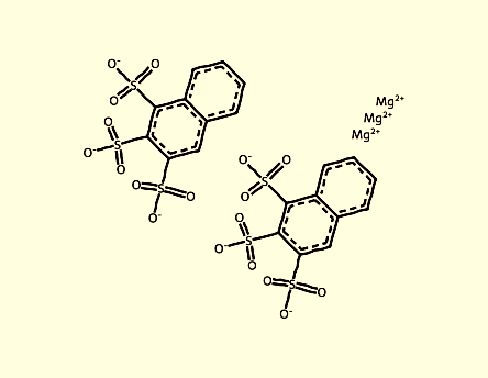 O=S(=O)([O-])c1cc2ccccc2c(S(=O)(=O)[O-])c1S(=O)(=O)[O-].O=S(=O)([O-])c1cc2ccccc2c(S(=O)(=O)[O-])c1S(=O)(=O)[O-].[Mg+2].[Mg+2].[Mg+2]